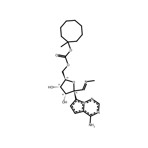 CN=C[C@@]1(c2ccc3c(N)ncnn23)O[C@H](COC(=O)OC2(C)CCCCCCC2)[C@@H](O)[C@H]1O